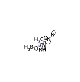 Bc1ccc2c(c1)/C(=C/c1[nH]c3c(c1C)C(=O)N(CCN1CCCCC1)CCC3)C(=O)N2